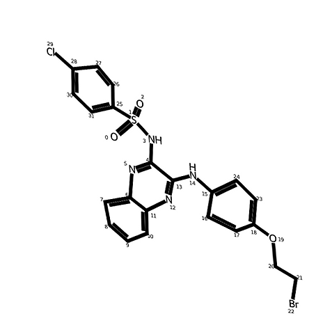 O=S(=O)(Nc1nc2ccccc2nc1Nc1ccc(OCCBr)cc1)c1ccc(Cl)cc1